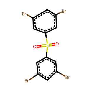 O=S(=O)(c1cc(Br)cc(Br)c1)c1cc(Br)cc(Br)c1